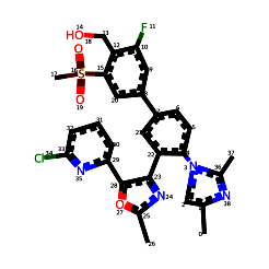 Cc1cn(-c2ccc(-c3cc(F)c(CO)c(S(C)(=O)=O)c3)cc2-c2nc(C)oc2-c2cccc(Cl)n2)c(C)n1